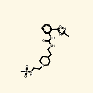 Cc1noc(-c2ccccc2NC(=O)NCCC2CCN(CCNS(C)(=O)=O)CC2)n1